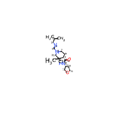 C=C(C)C/N=C/N1CC[C@H](C(=O)N[C@@H]2CCOC2)C(C)(C)C1